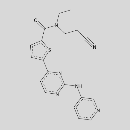 CCN(CCC#N)C(=O)c1ccc(-c2ccnc(Nc3cccnc3)n2)s1